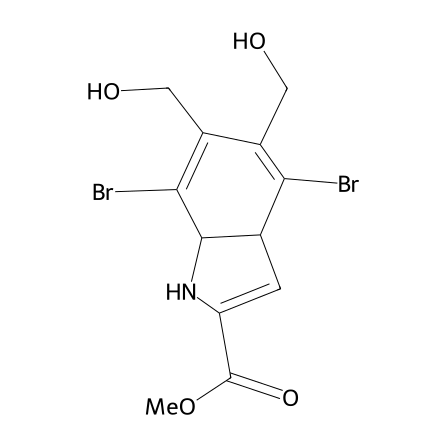 COC(=O)C1=CC2C(Br)=C(CO)C(CO)=C(Br)C2N1